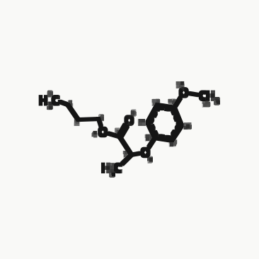 CCCCOC(=O)C(C)Oc1ccc(OC)cc1